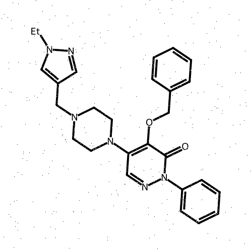 CCn1cc(CN2CCN(c3cnn(-c4ccccc4)c(=O)c3OCc3ccccc3)CC2)cn1